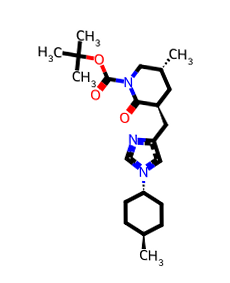 C[C@@H]1C[C@@H](Cc2cn([C@H]3CC[C@H](C)CC3)cn2)C(=O)N(C(=O)OC(C)(C)C)C1